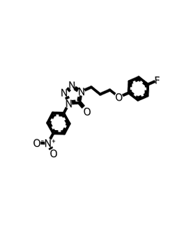 O=c1n(CCCOc2ccc(F)cc2)nnn1-c1ccc([N+](=O)[O-])cc1